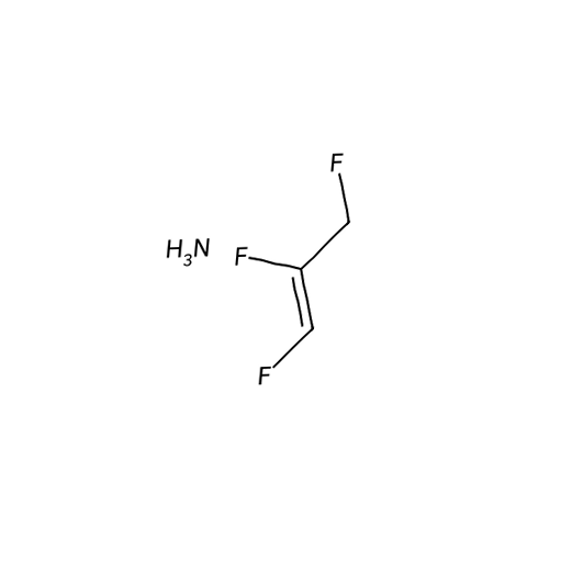 FC=C(F)CF.N